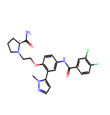 Cn1nccc1-c1cc(NC(=O)c2ccc(F)c(Cl)c2)ccc1OCCN1CCC[C@H]1C(N)=O